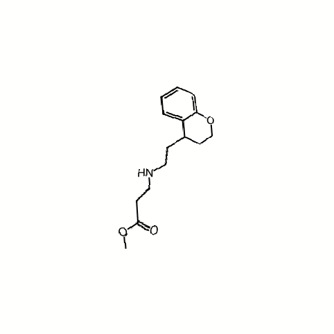 COC(=O)CCNCCC1CCOc2ccccc21